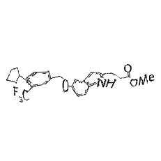 COC(=O)CCc1cc2cc(OCc3ccc(C4CCCC4)c(C(F)(F)F)c3)ccc2[nH]1